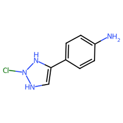 Nc1ccc(C2=CNN(Cl)N2)cc1